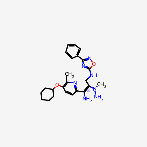 Cc1nc(/C(N)=C(\CNc2nc(-c3ccccc3)no2)N(C)N)ccc1OC1CCCCC1